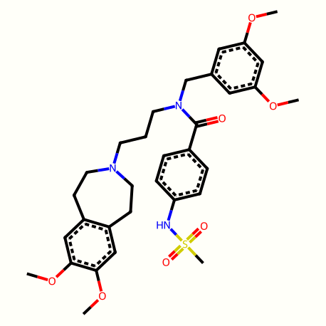 COc1cc(CN(CCCN2CCc3cc(OC)c(OC)cc3CC2)C(=O)c2ccc(NS(C)(=O)=O)cc2)cc(OC)c1